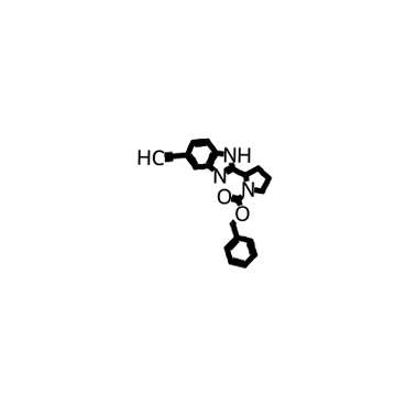 C#Cc1ccc2[nH]c(C3CCCN3C(=O)OCc3ccccc3)nc2c1